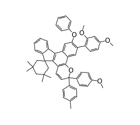 COc1ccc(C2(c3ccc(C)cc3)C=Cc3c4c(c5cc(Oc6ccccc6)c(-c6ccc(OC)cc6OC)cc5c3O2)-c2ccccc2C42CC(C)(C)CC(C)(C)C2)cc1